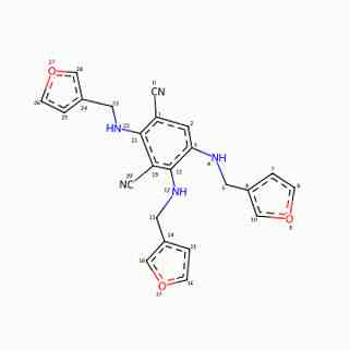 N#Cc1cc(NCc2ccoc2)c(NCc2ccoc2)c(C#N)c1NCc1ccoc1